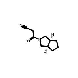 N#CCC(=O)N1C[C@H]2CCC[C@H]2C1